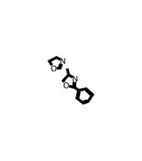 C1=NCCO1.CC1COC(c2ccccc2)=N1